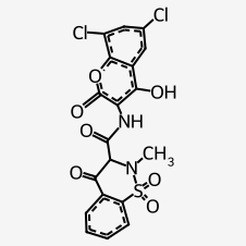 CN1C(C(=O)Nc2c(O)c3cc(Cl)cc(Cl)c3oc2=O)C(=O)c2ccccc2S1(=O)=O